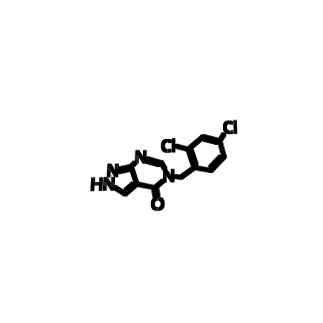 O=c1c2c[nH]nc2ncn1Cc1ccc(Cl)cc1Cl